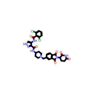 O=C1CCC(N2C(=O)c3ccc(CN4CCC(NC(=O)c5n[nH]cc5NC(=O)c5c(Cl)cccc5Cl)CC4)cc3C2=O)C(=O)N1